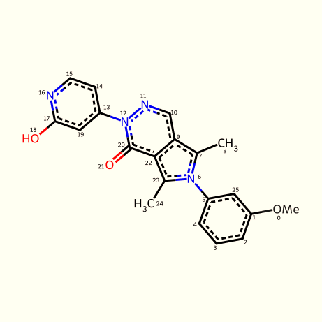 COc1cccc(-n2c(C)c3cnn(-c4ccnc(O)c4)c(=O)c3c2C)c1